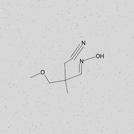 COCC(C)(C=NO)CC#N